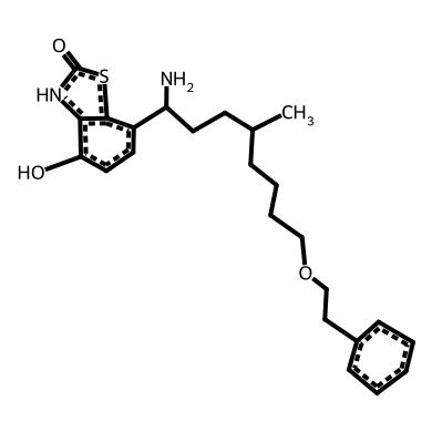 CC(CCCCOCCc1ccccc1)CCC(N)c1ccc(O)c2[nH]c(=O)sc12